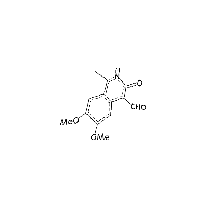 COc1cc2c(C)[nH]c(=O)c(C=O)c2cc1OC